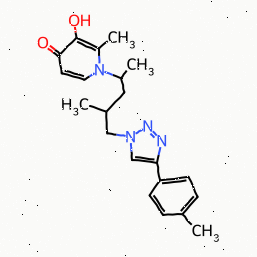 Cc1ccc(-c2cn(CC(C)CC(C)n3ccc(=O)c(O)c3C)nn2)cc1